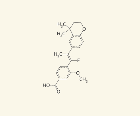 COc1cc(C(=O)O)ccc1C(F)=C(C)c1ccc2c(c1)C(C)(C)CCO2